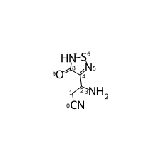 N#CCC(N)c1ns[nH]c1=O